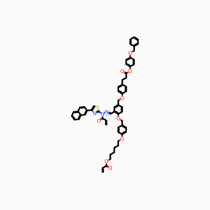 C=CC(=O)OCCCCCCOc1ccc(COc2ccc(COc3ccc(CCC(=O)Oc4ccc(OCc5ccccc5)cc4)cc3)cc2/C=N/N(C(=O)C=C)c2nc(-c3ccc4ccccc4c3)cs2)cc1